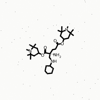 CN1C(C)(C)CC(OC(=O)CC[C@@](N)(CNC2CCCCC2)C(=O)OC2CC(C)(C)N(C)C(C)(C)C2)CC1(C)C